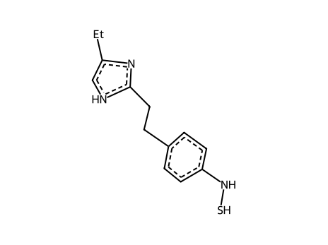 CCc1c[nH]c(CCc2ccc(NS)cc2)n1